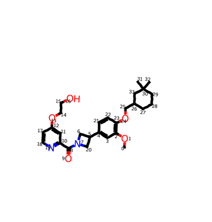 COc1cc(C2CN(C(=O)c3cc(OCCO)ccn3)C2)ccc1OCC1CCCC(C)(C)C1